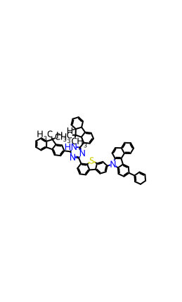 CC1(C)c2ccccc2-c2ccc(C3N=C(c4cccc5c4sc4cc(-n6c7ccc(C8=CCCC=C8)cc7c7c8ccccc8ccc76)ccc45)N=C(C4C=CC=C5C6C=CC=C[C@H]6C(C)(C)C54)N3)cc21